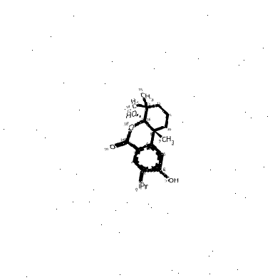 CC(C)c1cc2c(cc1O)[C@@]1(C)CCCC(C)(C)[C@]1(O)OC2=O